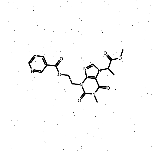 COC(=O)C(C)n1cnc2c1c(=O)n(C)c(=O)n2CCOC(=O)c1cccnc1